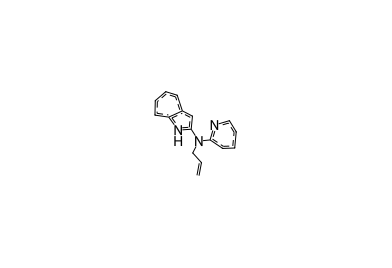 C=CCN(c1ccccn1)c1cc2ccccc2[nH]1